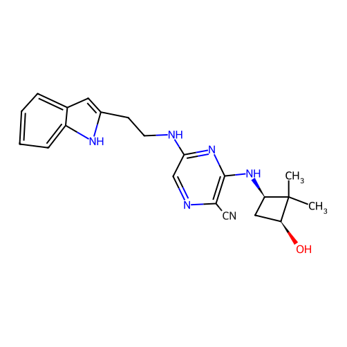 CC1(C)[C@@H](O)C[C@H]1Nc1nc(NCCc2cc3ccccc3[nH]2)cnc1C#N